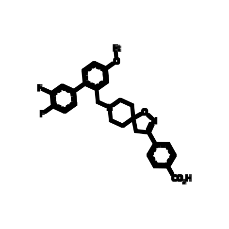 CCOc1ccc(-c2ccc(F)c(F)c2)c(CN2CCC3(CC2)CC(c2ccc(C(=O)O)cc2)=NO3)c1